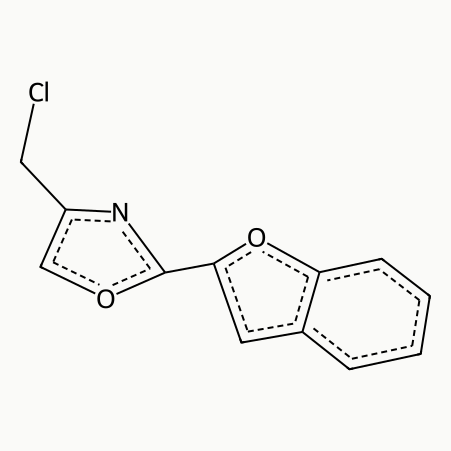 ClCc1coc(-c2cc3ccccc3o2)n1